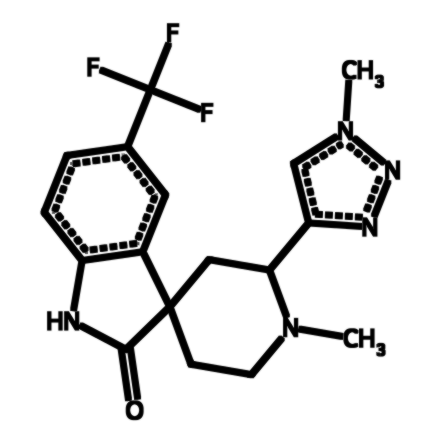 CN1CCC2(CC1c1cn(C)nn1)C(=O)Nc1ccc(C(F)(F)F)cc12